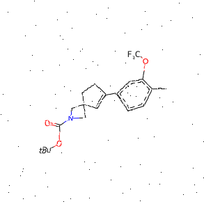 Cc1ccc(C2=CC3(CC2)CN(C(=O)OC(C)(C)C)C3)cc1OC(F)(F)F